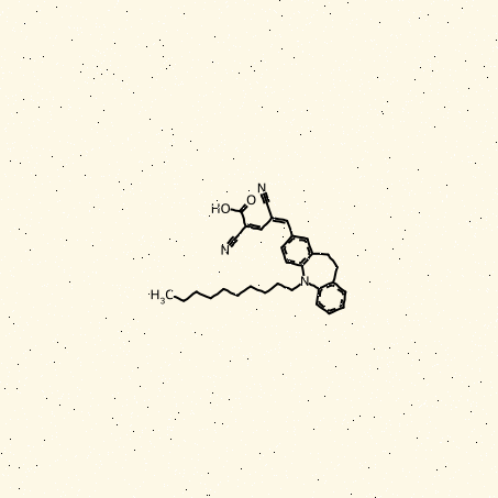 CCCCCCCCCCN1c2ccccc2CCc2cc(/C=C(C#N)\C=C(\C#N)C(=O)O)ccc21